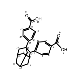 O=C(O)c1ccc(C2C3CC4CC(C3)CC2(c2ccc(C(=O)O)cc2)C4)cc1